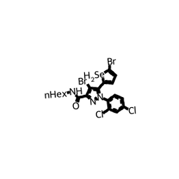 CCCCCCNC(=O)c1nn(-c2ccc(Cl)cc2Cl)c(C2=CC=C(Br)[SeH2]2)c1Br